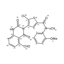 COc1ccccc1N(C)C(=O)c1cc(-n2c(=O)[nH]c3cccc(C=O)c3c2=O)c(Cl)s1